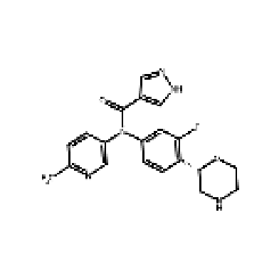 O=C(c1cn[nH]c1)N(c1ccc(C(F)(F)F)nc1)c1ccc([C@H]2CNCCO2)c(F)c1